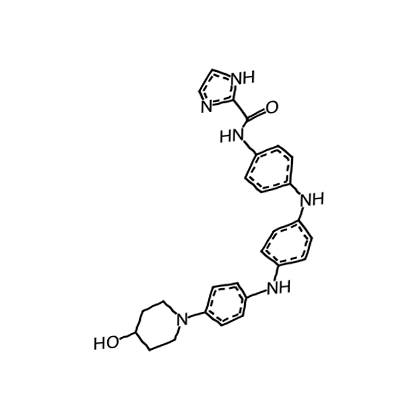 O=C(Nc1ccc(Nc2ccc(Nc3ccc(N4CCC(O)CC4)cc3)cc2)cc1)c1ncc[nH]1